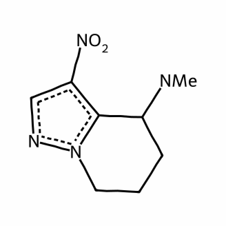 CNC1CCCn2ncc([N+](=O)[O-])c21